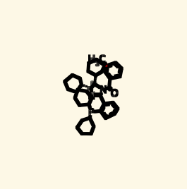 Cc1cccc(C(=O)N2C(c3ccccc3P(C3CCCCC3)C3CCCCC3)=N[C@H](C3CCCCC3)[C@H]2C2CCCCC2)c1